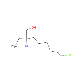 CCC(N)(CO)CCCCCC[18F]